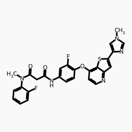 CN(C(=O)CC(=O)Nc1ccc(Oc2ccnc3cc(-c4cn(C)cn4)sc23)c(F)c1)c1ccccc1F